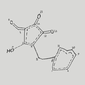 O=c1c(O)c(Cc2ccccc2)c(=O)c1=O